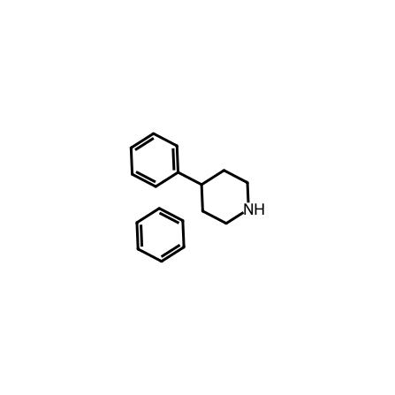 c1ccc(C2CCNCC2)cc1.c1ccccc1